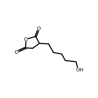 O=C1CC(CCCCCO)C(=O)O1